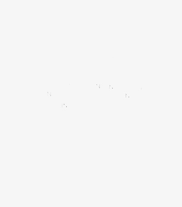 Cc1cccc(C)c1NC(=O)Nc1cccc(N=NC2=C(c3nc4cc(-c5ccccc5)ccc4o3)C=COC2)c1